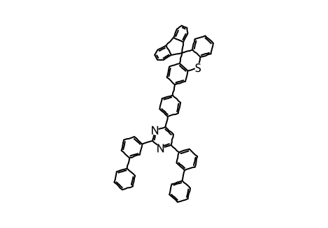 c1ccc(-c2cccc(-c3cc(-c4ccc(-c5ccc6c(c5)Sc5ccccc5C65c6ccccc6-c6ccccc65)cc4)nc(-c4cccc(-c5ccccc5)c4)n3)c2)cc1